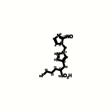 O=Nc1nccn1Cn1cc(CC(CCCF)S(=O)(=O)O)nn1